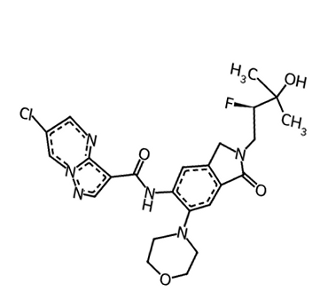 CC(C)(O)[C@H](F)CN1Cc2cc(NC(=O)c3cnn4cc(Cl)cnc34)c(N3CCOCC3)cc2C1=O